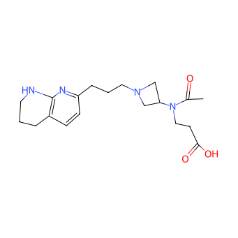 CC(=O)N(CCC(=O)O)C1CN(CCCc2ccc3c(n2)NCCC3)C1